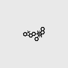 CC1(C)c2ccccc2-c2ccc3cc(-c4nc5c(ccc6ccccc65)nc4-c4ccccc4)ccc3c21